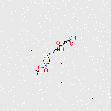 CC(C)(C)OC(=O)N1CCN(CCCNC(=O)C=CC(=O)O)CC1